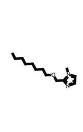 CCCCCCCCOCc1nccn1C